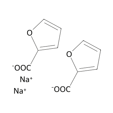 O=C([O-])c1ccco1.O=C([O-])c1ccco1.[Na+].[Na+]